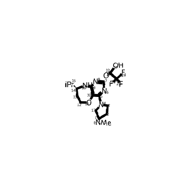 CN[C@@H]1CCN(c2ncnc3c2OCC[C@H](C(C)C)N3)C1.O=C(O)C(F)(F)F